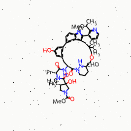 CCn1c(-c2cccnc2[C@H](C)OC)c2c3cc(ccc31)-c1cc(O)cc(c1)C[C@H](NC(=O)[C@H](C(C)C)N(C)C(=O)C1(O)CN(C(=O)OC)C[C@@H]1C)C(=O)N1CCC[C@](C=O)(COCC(C)(C)C2)N1